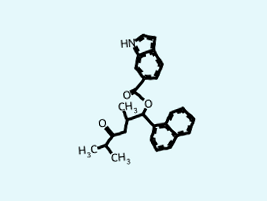 CC(C)C(=O)CC(C)C(OC(=O)c1ccc2cc[nH]c2c1)c1cccc2ccccc12